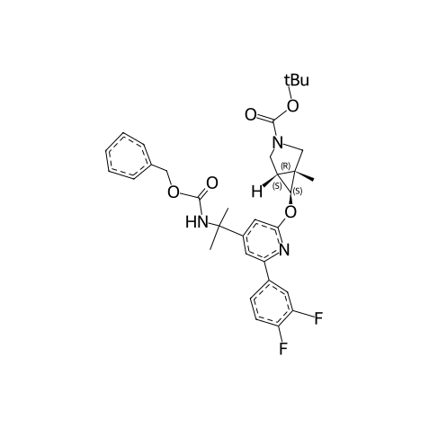 CC(C)(C)OC(=O)N1C[C@H]2[C@H](Oc3cc(C(C)(C)NC(=O)OCc4ccccc4)cc(-c4ccc(F)c(F)c4)n3)[C@@]2(C)C1